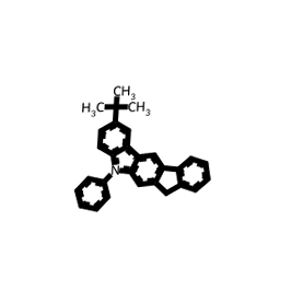 CC(C)(C)c1ccc2c(c1)c1cc3c(cc1n2-c1ccccc1)Cc1ccccc1-3